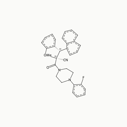 COc1ccccc1[C@H](c1cccc2ccccc12)[C@@](C)(C#N)C(=O)N1CCN(c2ccccc2F)CC1